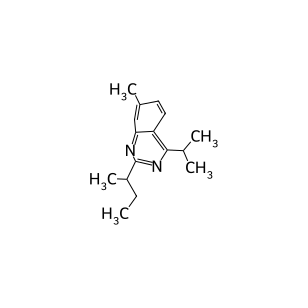 CCC(C)c1nc(C(C)C)c2ccc(C)cc2n1